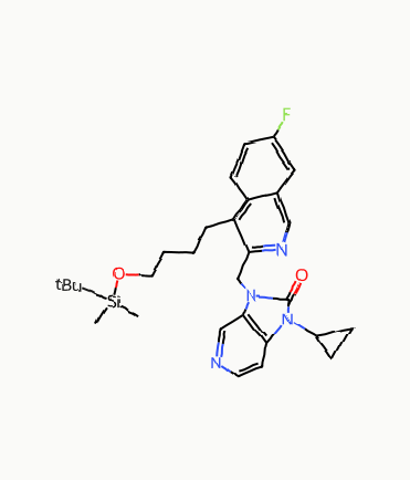 CC(C)(C)[Si](C)(C)OCCCCc1c(Cn2c(=O)n(C3CC3)c3ccncc32)ncc2cc(F)ccc12